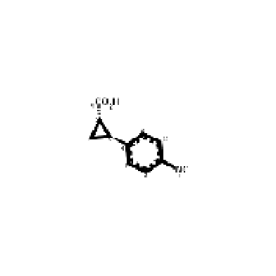 [C-]#[N+]c1ccc([C@H]2C[C@@H]2C(=O)O)cc1